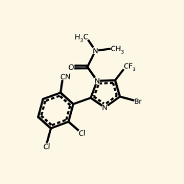 CN(C)C(=O)n1c(-c2c(C#N)ccc(Cl)c2Cl)nc(Br)c1C(F)(F)F